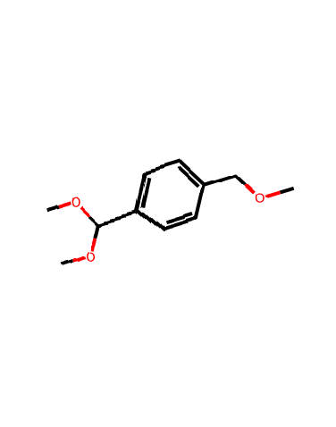 COCc1ccc(C(OC)OC)cc1